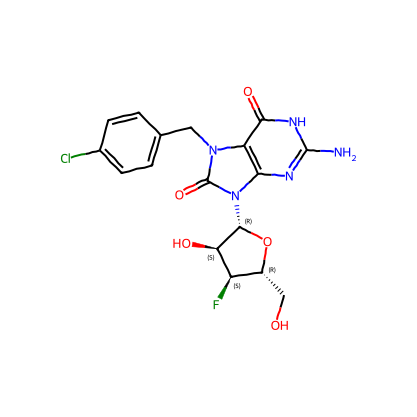 Nc1nc2c(c(=O)[nH]1)n(Cc1ccc(Cl)cc1)c(=O)n2[C@@H]1O[C@H](CO)[C@@H](F)[C@H]1O